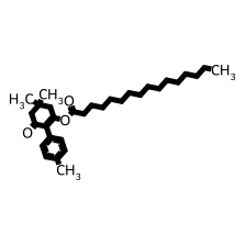 CCCCCCCCCCCCCCCC(=O)OC1=C(c2ccc(C)cc2)C(=O)CC(C)(C)C1